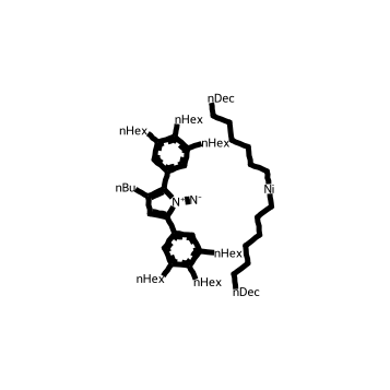 CCCCCCCCCCCCCCC[CH2][Ni][CH2]CCCCCCCCCCCCCCC.CCCCCCc1cc(C2=CC(CCCC)=C(c3cc(CCCCCC)c(CCCCCC)c(CCCCCC)c3)[N+]2=[N-])cc(CCCCCC)c1CCCCCC